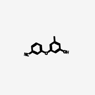 Cc1cc(O)cc(Oc2cccc(C#N)c2)c1